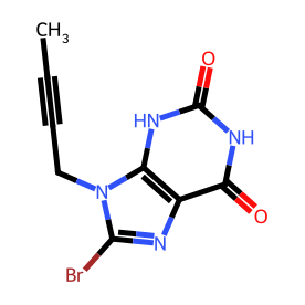 CC#CCn1c(Br)nc2c(=O)[nH]c(=O)[nH]c21